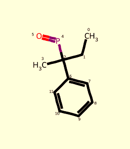 CCC(C)(P=O)c1ccccc1